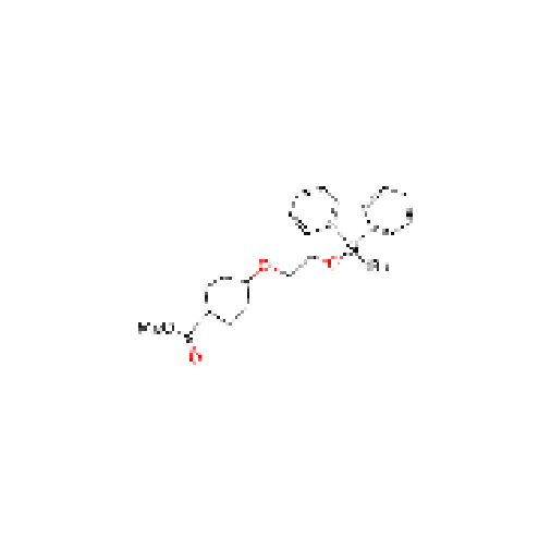 COC(=O)C1CCC(OCCO[Si](c2ccccc2)(c2ccccc2)C(C)(C)C)CC1